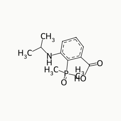 CC(C)Nc1cccc(C(=O)O)c1P(C)(C)=O